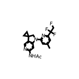 CC(=O)Nc1cc2c(cn1)C1(CC1)CN2c1cc(C)cc(C(F)(F)CF)n1